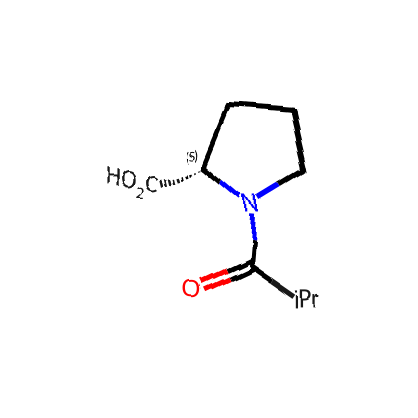 CC(C)C(=O)N1CCC[C@H]1C(=O)O